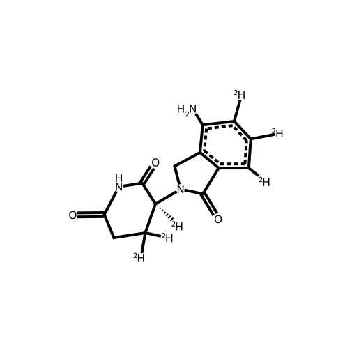 [2H]c1c([2H])c(N)c2c(c1[2H])C(=O)N([C@]1([2H])C(=O)NC(=O)CC1([2H])[2H])C2